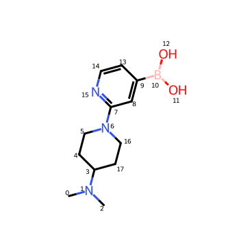 CN(C)C1CCN(c2cc(B(O)O)ccn2)CC1